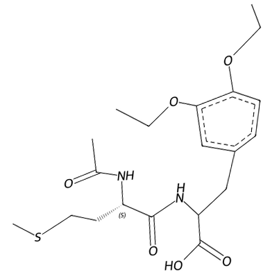 CCOc1ccc(CC(NC(=O)[C@H](CCSC)NC(C)=O)C(=O)O)cc1OCC